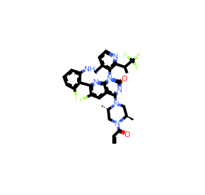 C=CC(=O)N1C[C@H](C)N(c2nc(=O)n(-c3c(C)ccnc3C(C)C(F)(F)F)c3nc(-c4c(N)cccc4F)c(F)cc23)C[C@H]1C